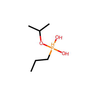 CCC[PH](O)(O)OC(C)C